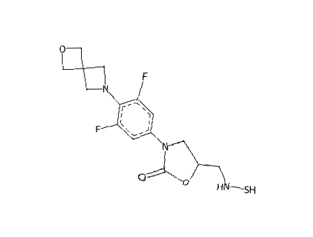 O=C1OC(CNS)CN1c1cc(F)c(N2CC3(COC3)C2)c(F)c1